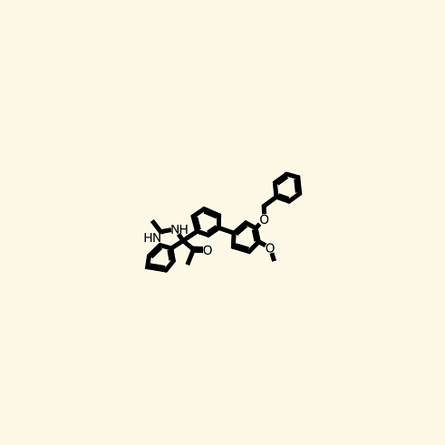 COc1ccc(-c2cccc(C(NC(C)=N)(C(C)=O)c3ccccc3)c2)cc1OCc1ccccc1